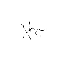 CCON(OCC)C(CN(CO)CCN)(OCC)OCC